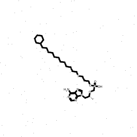 C[C@H](Cn1cnc2c(N)ncnc21)OCP(=O)(O)OCCCSCCCCCCCCCCCCC1CCCCC1